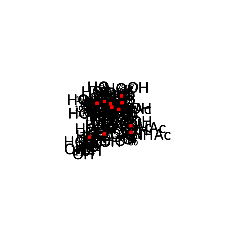 CC(=O)NC1C(O)[C@H](O[C@@H]2OC(CO)[C@H](O)[C@H](O[C@]3(OC=O)C[C@@H](O)[C@@H](C)C([C@H](O)[C@H](O)CO)O3)C2O)[C@H](CO)O[C@H]1OC1[C@@H](OCC2O[C@@H](O[C@@H]3C(CO)O[C@@H](O[C@@H]4C(CO)O[C@@H](C)C(NC(C)=O)[C@H]4O)C(NC(C)=O)[C@H]3O)C(O)[C@@H](O[C@H]3O[C@H](CO)[C@@H](O)C(O)C3O[C@@H]3OC(CO)[C@@H](O[C@@H]4OC(CO)[C@H](O)[C@H](O[C@]5(OC=O)C[C@@H](O)[C@@H](C)C([C@H](O)[C@H](O)CO)O5)C4O)[C@H](O)C3NC(C)=O)[C@@H]2O)OC(CO)[C@@H](O)[C@@H]1O